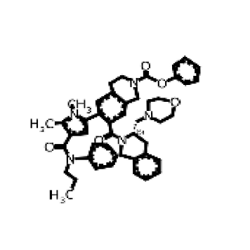 CCCN(C(=O)c1cc(-c2cc3c(cc2C(=O)N2Cc4ccccc4C[C@H]2CN2CCOCC2)CN(C(=O)Oc2ccccc2)CC3)n(C)c1C)c1ccccc1